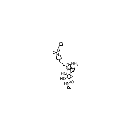 Nc1nc(CCCC2CCN(C(=O)OCC3CCC3)CC2)nc2c1ncn2[C@@H]1O[C@H](C(=O)NC2CC2)C(O)[C@@H]1O